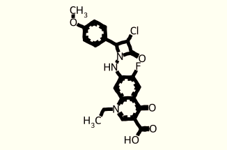 CCn1cc(C(=O)O)c(=O)c2cc(F)c(NN3C(=O)C(Cl)C3c3ccc(OC)cc3)cc21